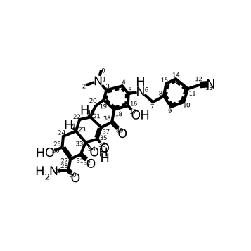 CN(C)c1cc(NCc2ccc(C#N)cc2)c(O)c2c1C[C@H]1C[C@H]3CC(O)=C(C(N)=O)C(=O)[C@@]3(O)C(O)=C1C2=O